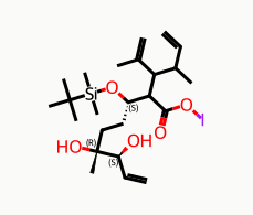 C=CC(C)C(C(=C)C)C(C(=O)OI)[C@H](CC[C@@](C)(O)[C@@H](O)C=C)O[Si](C)(C)C(C)(C)C